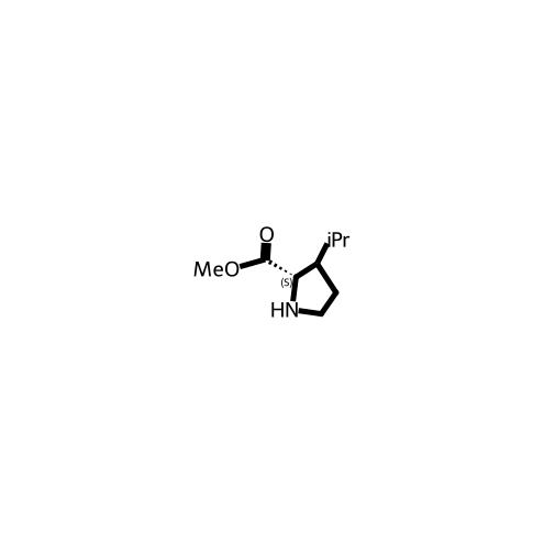 COC(=O)[C@H]1NCCC1C(C)C